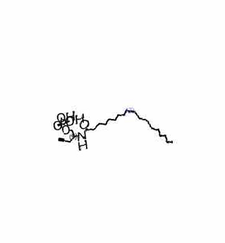 C#CC[C@@H](COP(=O)(O)O)NC(=O)CCCCCCC/C=C\CCCCCCCC